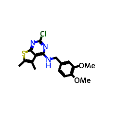 COc1ccc(CNc2nc(Cl)nc3sc(C)c(C)c23)cc1OC